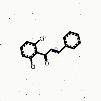 O=C(/C=C/c1ccccc1)c1c(Cl)cccc1Cl